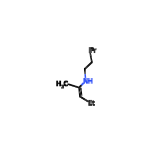 CCC=C(C)NCCC(C)C